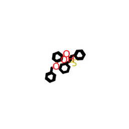 OC1(c2sc3ccccc3c2Oc2cccc(OCc3ccccc3)c2)CCCCC1